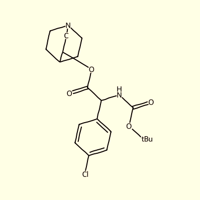 CC(C)(C)OC(=O)NC(C(=O)OC1CN2CCC1CC2)c1ccc(Cl)cc1